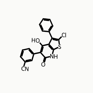 N#Cc1cccc(-c2c(O)c3c(-c4ccccc4)c(Cl)sc3[nH]c2=O)c1